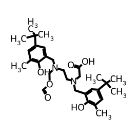 Cc1cc(C(C)(C)C)cc(CN(CCN(CC(=O)O)Cc2cc(C(C)(C)C)cc(C)c2O)COC=O)c1O